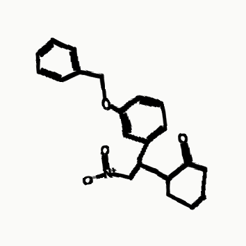 O=C1CCCCC1C(C[N+](=O)[O-])c1cccc(OCc2ccccc2)c1